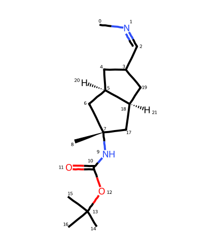 C/N=C\C1C[C@@H]2C[C@@](C)(NC(=O)OC(C)(C)C)C[C@@H]2C1